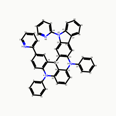 c1ccc(N2c3ccc(-c4ccccn4)cc3B3c4cc5c(cc4N(c4ccccc4)c4cccc2c43)c2ccccc2n5-c2ccccn2)cc1